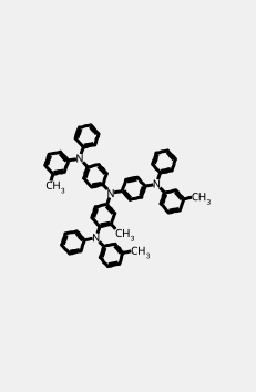 Cc1cccc(N(c2ccccc2)c2ccc(N(c3ccc(N(c4ccccc4)c4cccc(C)c4)cc3)c3ccc(N(c4ccccc4)c4cccc(C)c4)c(C)c3)cc2)c1